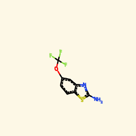 Nc1nc2cc(OC(F)(F)F)ccc2s1